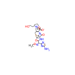 CO/N=C(\C(=O)N[C@@H]1C(=O)N2C(C(=O)[O-])=C(C[N+]3(C)CCCC3CCO)CS[C@@H]12)c1nsc(N)n1